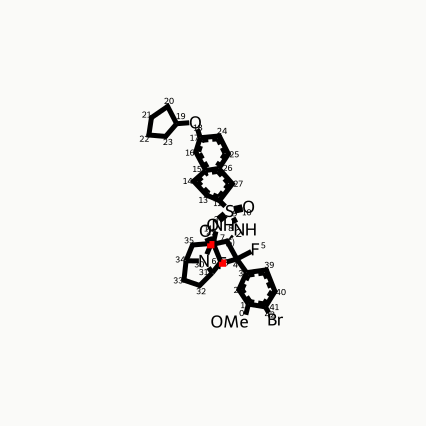 COc1cc(C(F)(F)[C@@H](NS(=O)(=O)c2ccc3cc(OC4CCCC4)ccc3c2)C(=O)N2C3CCC2CC(N)C3)ccc1Br